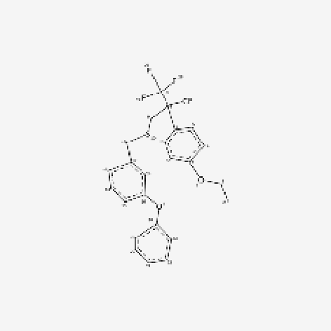 CCOc1ccc(C(Cl)(CSCc2cccc(Oc3ccccc3)c2)C(F)(F)F)cc1